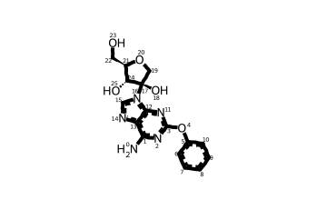 Nc1nc(Oc2ccccc2)nc2c1ncn2[C@@]1(O)CO[C@H](CO)[C@H]1O